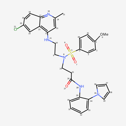 COc1ccc(S(=O)(=O)N(CCNc2cc(C)nc3ccc(Cl)cc23)CCC(=O)Nc2ccccc2-n2cccc2)cc1